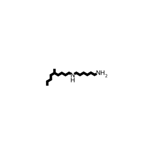 CCCCC(C)CCCCNCCCCCCN